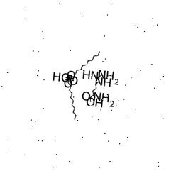 CCCCCCCCCCOP(=O)(O)OCCCCCCCCCC.N=C(N)NCCCC(N)C(=O)O